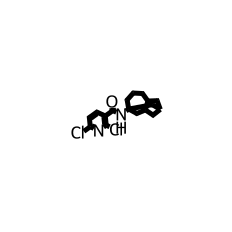 O=C(NC12CCCC3CC(CC3C1)C2)c1ccc(Cl)nc1Cl